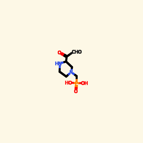 O=CC(=O)C1CN(CP(=O)(O)O)CCN1